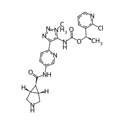 C[C@@H](OC(=O)Nc1c(-c2ccc(NC(=O)[C@H]3[C@@H]4CNC[C@@H]43)cn2)nnn1C)c1cccnc1Cl